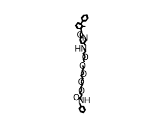 Cc1c(COc2ccc(CNCCOCCOCCOCCOCCOCCC(=O)NCc3ccccc3)cn2)cccc1-c1ccccc1